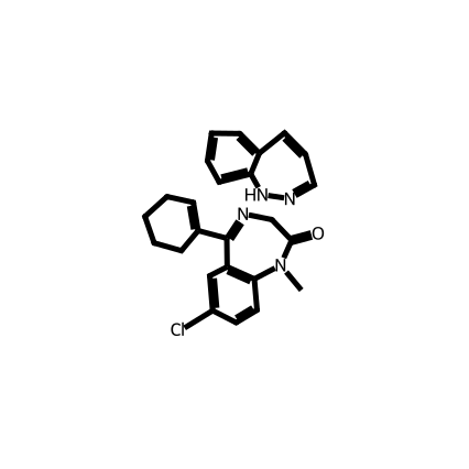 C1=Cc2ccccc2NN=C1.CN1C(=O)CN=C(C2=CCCCC2)c2cc(Cl)ccc21